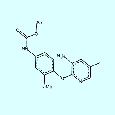 COc1cc(NC(=O)OC(C)(C)C)ccc1Oc1ncc(C)cc1N